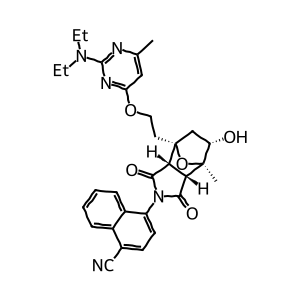 CCN(CC)c1nc(C)cc(OCC[C@]23C[C@H](O)[C@](C)(O2)[C@@H]2C(=O)N(c4ccc(C#N)c5ccccc45)C(=O)[C@@H]23)n1